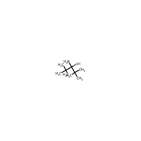 BC(S)(C(C)(C)C)C(C)(C)C